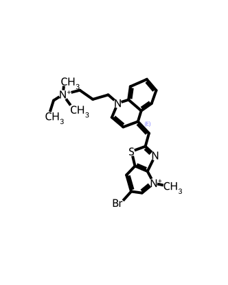 CC[N+](C)(C)CCCN1C=C/C(=C\c2nc3c(cc(Br)c[n+]3C)s2)c2ccccc21